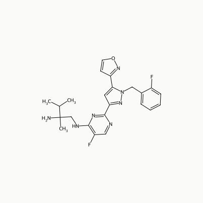 CC(C)C(C)(N)CNc1nc(-c2cc(-c3ccon3)n(Cc3ccccc3F)n2)ncc1F